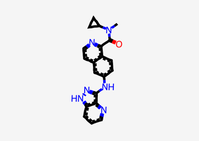 CN(C(=O)c1nccc2cc(Nc3n[nH]c4cccnc34)ccc12)C1CC1